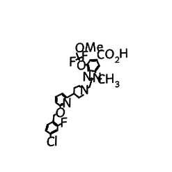 COCC(F)(F)Oc1cc(C(=O)O)cc2c1nc(CN1CCC(c3cccc(OCc4ccc(Cl)cc4F)n3)CC1)n2C